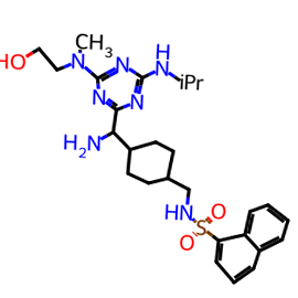 CC(C)Nc1nc(C(N)C2CCC(CNS(=O)(=O)c3cccc4ccccc34)CC2)nc(N(C)CCO)n1